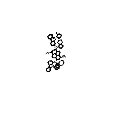 Cc1ccccc1-n1c2ccccc2c2ccc(N(c3cccc4c3CCCC4)c3cc(C(C)C)c4ccc5c(N(c6cccc7c6CCCC7)c6cccc7c8ccccc8n(-c8ccccc8C)c67)cc(C(C)C)c6ccc3c4c65)cc21